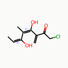 C=C(C(=O)CCl)/C(O)=C(C)\C(O)=C/C